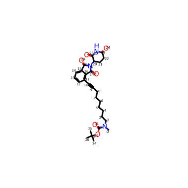 CN(CCCCCCCC#Cc1cccc2c1C(=O)N(C1CCC(=O)NC1=O)C2=O)C(=O)OC(C)(C)C